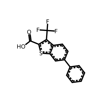 O=C(O)c1sc2cc(-c3ccccc3)ccc2c1C(F)(F)F